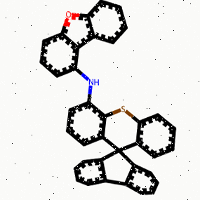 c1ccc2c(c1)Sc1c(Nc3cccc4oc5ccccc5c34)cccc1C21c2ccccc2-c2ccccc21